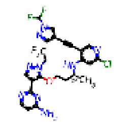 C[C@@H](CCOc1c(-c2nccc(N)n2)cnn1CC(F)(F)F)Nc1cc(Cl)ncc1C#Cc1cnn(C(F)F)c1